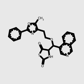 Cc1oc(-c2ccccc2)nc1CCOC(c1cncc2ccccc12)C1NC(=O)SC1=O